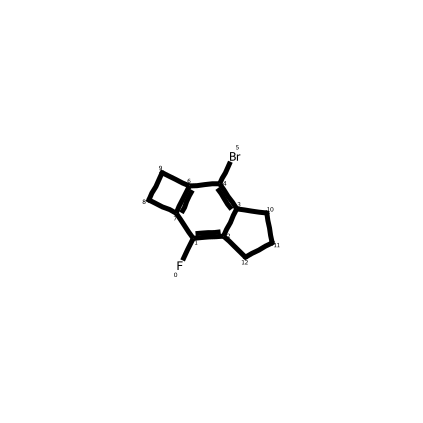 Fc1c2c(c(Br)c3c1CC3)CCC2